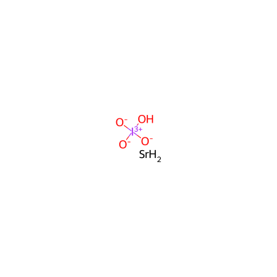 [O-][I+3]([O-])([O-])O.[SrH2]